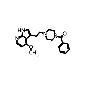 COc1ccnc2[nH]cc(CCN3CCN(C(=O)c4ccccc4)CC3)c12